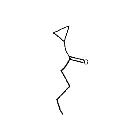 CCCCC(=O)C1CC1